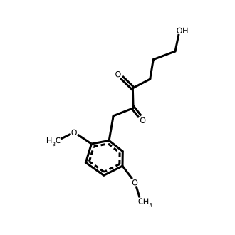 COc1ccc(OC)c(CC(=O)C(=O)CCCO)c1